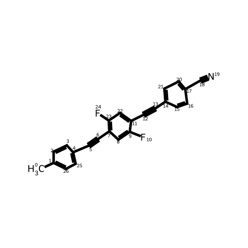 Cc1ccc(C#Cc2cc(F)c(C#Cc3ccc(C#N)cc3)cc2F)cc1